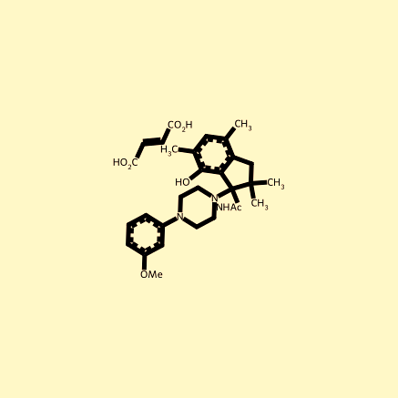 COc1cccc(N2CCN(C3(NC(C)=O)c4c(O)c(C)cc(C)c4CC3(C)C)CC2)c1.O=C(O)C=CC(=O)O